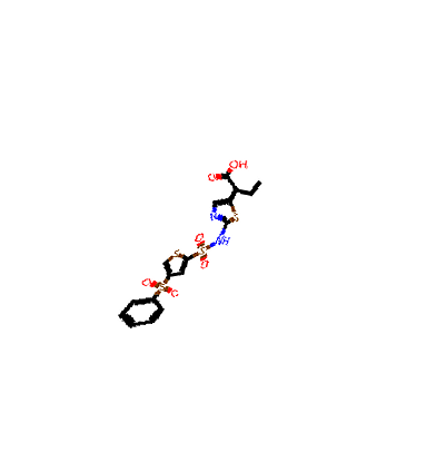 CCC(C(=O)O)c1cnc(NS(=O)(=O)c2cc(S(=O)(=O)c3ccccc3)cs2)s1